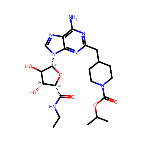 CCNC(=O)[C@H]1O[C@@H](n2cnc3c(N)nc(CC4CCN(C(=O)OC(C)C)CC4)nc32)C(O)[C@H]1O